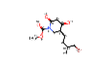 C[C@H](CBr)CCC1CN(C(=O)OC(C)(C)C)C(=O)CC1=O